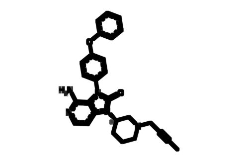 CC#CCN1CCC[C@@H](n2c(=O)n(-c3ccc(Oc4ccccc4)cc3)c3c(N)nccc32)C1